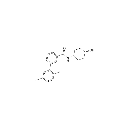 O=C(N[C@H]1CC[C@H](O)CC1)c1cccc(-c2cc(Cl)ccc2I)c1